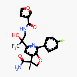 C[C@]1(C(N)=O)COc2c1cc(C(O)(CNC(=O)c1ccoc1)C(F)(F)F)nc2-c1ccc(F)cc1